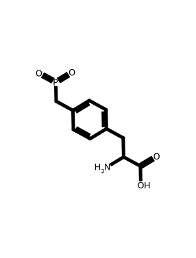 NC(Cc1ccc(CP(=O)=O)cc1)C(=O)O